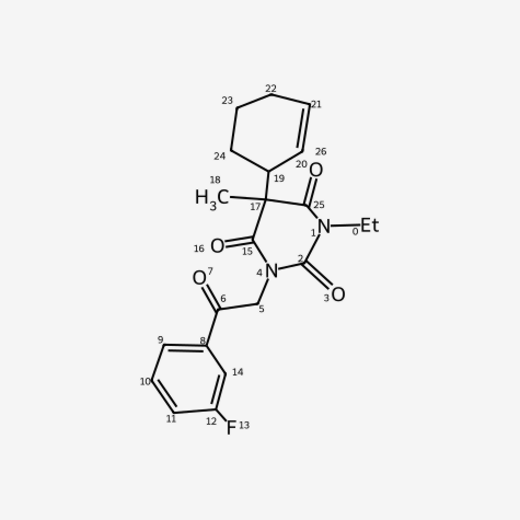 CCN1C(=O)N(CC(=O)c2cccc(F)c2)C(=O)C(C)(C2C=CCCC2)C1=O